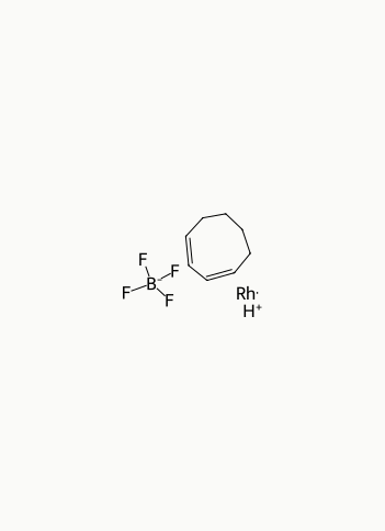 C1=CCCCCC=C1.F[B-](F)(F)F.[H+].[Rh]